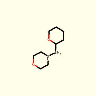 C1CCC([SiH2][SiH]2CCOCC2)OC1